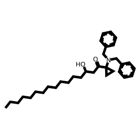 CCCCCCCCCCCCCC(O)CC(=O)C1(N(Cc2ccccc2)Cc2ccccc2)CC1